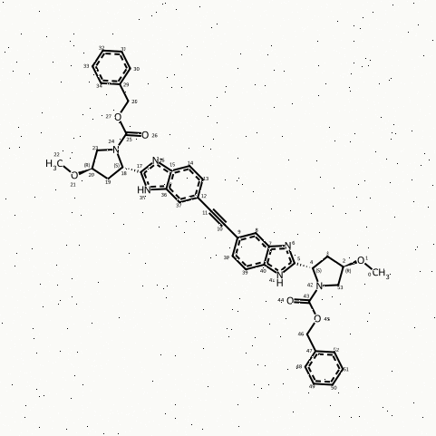 CO[C@@H]1C[C@@H](c2nc3cc(C#Cc4ccc5nc([C@@H]6C[C@@H](OC)CN6C(=O)OCc6ccccc6)[nH]c5c4)ccc3[nH]2)N(C(=O)OCc2ccccc2)C1